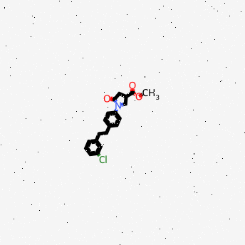 COC(=O)C1CC(=O)N(c2ccc(CCc3cccc(Cl)c3)cc2)C1